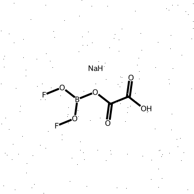 O=C(O)C(=O)OB(OF)OF.[NaH]